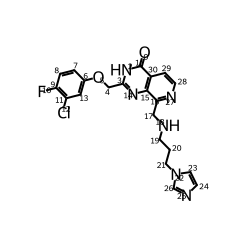 O=c1[nH]c(COc2ccc(F)c(Cl)c2)nc2c(CNCCCn3ccnc3)nccc12